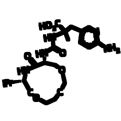 CC(C)[C@H]1COCCCCOC[C@@H](NC(=O)NC(C)(Cc2ccc(N)nc2)C(=O)O)C(=O)N1